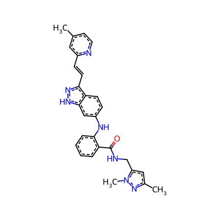 Cc1ccnc(C=Cc2n[nH]c3cc(Nc4ccccc4C(=O)NCc4cc(C)nn4C)ccc23)c1